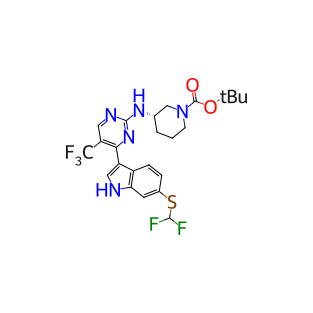 CC(C)(C)OC(=O)N1CCC[C@H](Nc2ncc(C(F)(F)F)c(-c3c[nH]c4cc(SC(F)F)ccc34)n2)C1